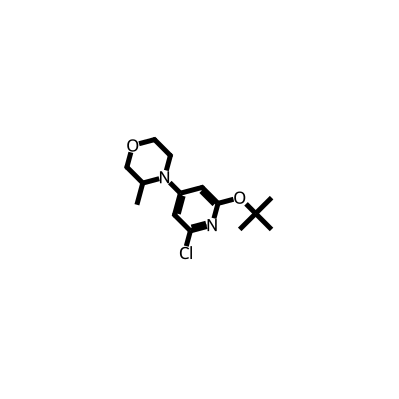 CC1COCCN1c1cc(Cl)nc(OC(C)(C)C)c1